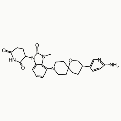 Cn1c(=O)n(C2CCC(=O)NC2=O)c2cccc(N3CCC4(CCC(c5ccc(N)nc5)CO4)CC3)c21